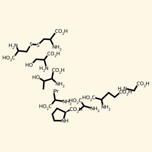 CC(C)C(N)C(=O)O.CC(N)C(=O)O.CC(O)C(N)C(=O)O.NC(CCC(=O)O)C(=O)O.NC(CO)C(=O)O.NC(CSSCC(N)C(=O)O)C(=O)O.NCC(=O)O.O=C(O)[C@@H]1CCCN1